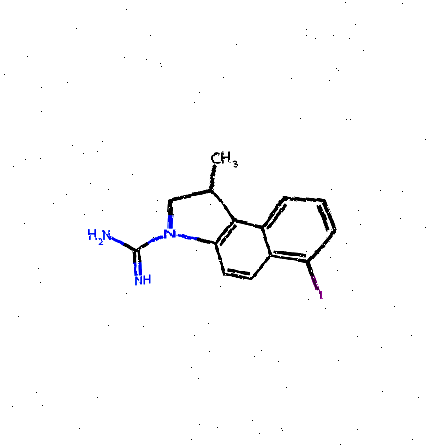 CC1CN(C(=N)N)c2ccc3c(I)cccc3c21